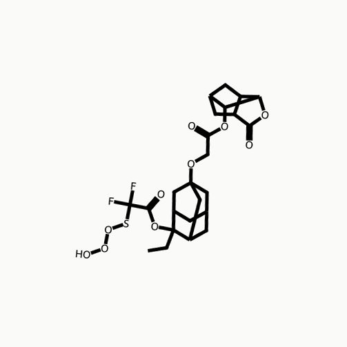 CCC1(OC(=O)C(F)(F)SOOO)C2CC3CC1CC(OCC(=O)OC1C4CC5C(=O)OC1C5C4)(C3)C2